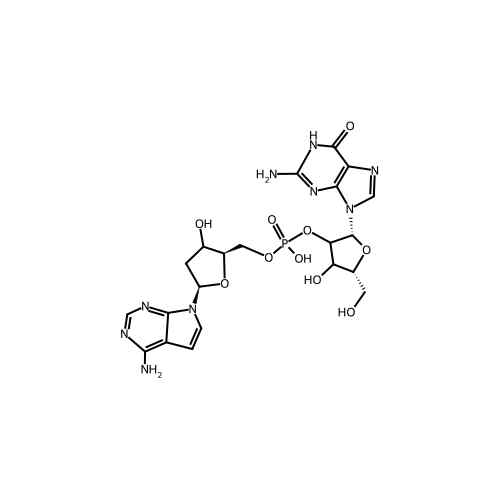 Nc1nc2c(ncn2[C@@H]2O[C@H](CO)C(O)C2OP(=O)(O)OC[C@H]2O[C@@H](n3ccc4c(N)ncnc43)CC2O)c(=O)[nH]1